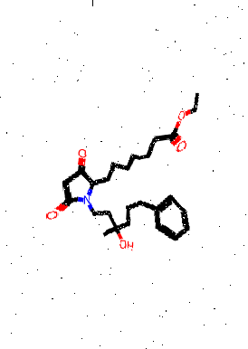 CCOC(=O)CCCCCCC1C(=O)CC(=O)N1CCC(C)(O)CCCc1ccccc1